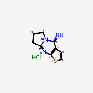 Cl.N=c1c2ccsc2nc2n1CCC2